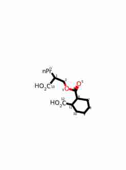 CCCC(COC(=O)C1CCCCC1C(=O)O)C(=O)O